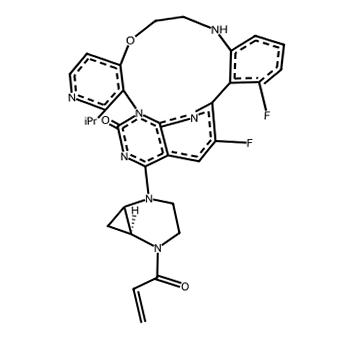 C=CC(=O)N1CCN(c2nc(=O)n3c4nc(c(F)cc24)-c2c(F)cccc2NCCOc2ccnc(C(C)C)c2-3)C2C[C@@H]21